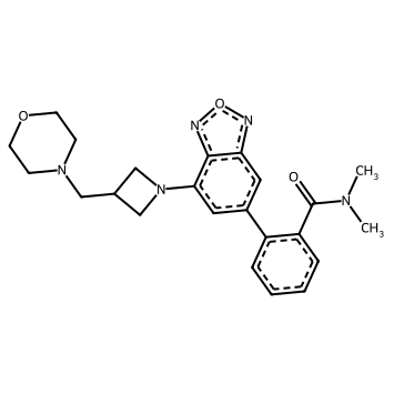 CN(C)C(=O)c1ccccc1-c1cc(N2CC(CN3CCOCC3)C2)c2nonc2c1